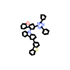 c1ccc(-c2nc(-c3ccccc3)nc(-c3cc(-n4c5ccccc5c5cc(-c6ccc7sc8ccccc8c7c6)ccc54)c4c(c3)oc3ccccc34)n2)cc1